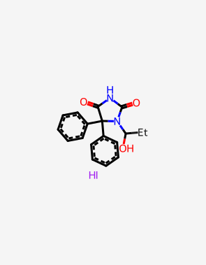 CCC(O)N1C(=O)NC(=O)C1(c1ccccc1)c1ccccc1.I